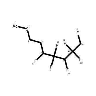 CC(=O)SCCC(F)C(F)(F)C(F)C(F)(F)CF